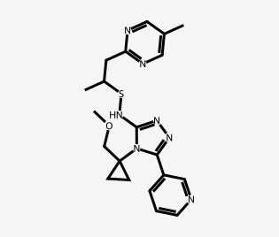 COCC1(n2c(NSC(C)Cc3ncc(C)cn3)nnc2-c2cccnc2)CC1